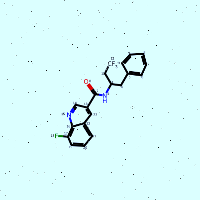 O=C(NC(Cc1ccccc1)CC(F)(F)F)c1cnc2c(F)cccc2c1